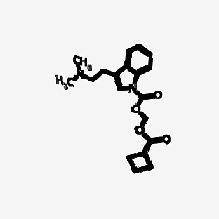 CN(C)CCc1cn(C(=O)OCOC(=O)C2CCC2)c2ccccc12